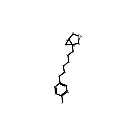 Cc1ccc(CCCCCCC23CNCC2C3)cc1